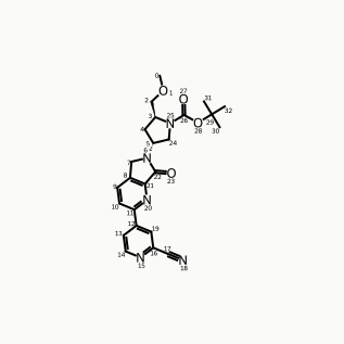 COC[C@@H]1C[C@@H](N2Cc3ccc(-c4ccnc(C#N)c4)nc3C2=O)CN1C(=O)OC(C)(C)C